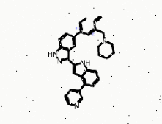 C=C/C(=C\C(=C/C)c1ccc2[nH]nc(-c3cc4c(-c5cccnc5)cccc4[nH]3)c2c1)CN1CCCCC1